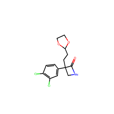 O=C1NCC1(CCC1OCCO1)c1ccc(Cl)c(Cl)c1